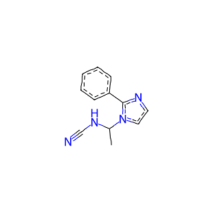 CC(NC#N)n1ccnc1-c1ccccc1